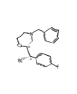 Fc1ccc([C@H](Br)[C@H]2CN(Cc3ccccc3)CCO2)cc1